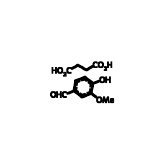 COc1cc(C=O)ccc1O.O=C(O)CCC(=O)O